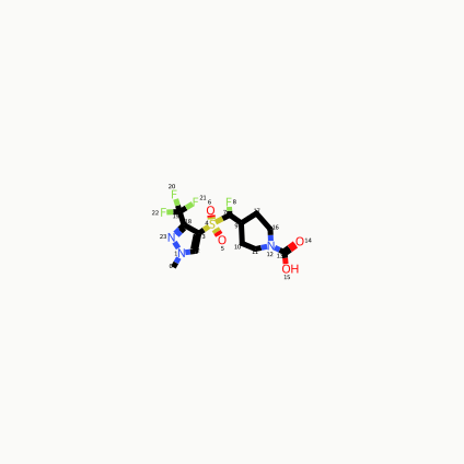 Cn1cc(S(=O)(=O)C(F)C2CCN(C(=O)O)CC2)c(C(F)(F)F)n1